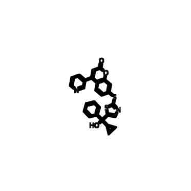 O=c1cc(-c2cccnc2)c2ccc(Sc3ncc(C(O)(c4ccccc4)C4CC4)s3)cc2o1